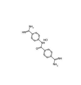 Cl.N=C(N)c1ccc(NC(=O)c2ccc(C(=N)N)cc2)cc1